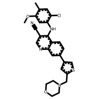 COc1cc(Nc2c(C#N)cnc3cc(-c4csc(CN5CCOCC5)c4)ccc23)c(Cl)cc1C